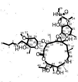 CCCNC[C@]1(O)[C@H](C)O[C@@H](O[C@H]2[C@H](C)[C@@H](O[C@@H]3O[C@H](C)C[C@H](N(C)S(=O)(=O)NC)[C@H]3O)[C@](C)(O)C[C@@H](C)CN[C@H](C)[C@@H](O)[C@](C)(O)[C@@H](CC)OC(=O)[C@@H]2C)C[C@@]1(C)OC